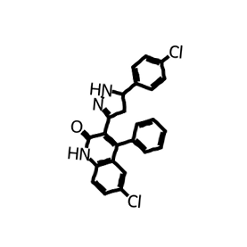 O=c1[nH]c2ccc(Cl)cc2c(-c2ccccc2)c1C1=NNC(c2ccc(Cl)cc2)C1